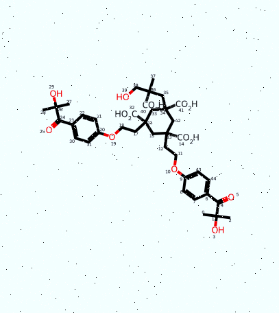 CC(C)(O)C(=O)c1ccc(OCCC2(C(=O)O)CC(CCOc3ccc(C(=O)C(C)(C)O)cc3)(C(=O)O)CC(CC(C)(CO)C(=O)O)(C(=O)O)C2)cc1